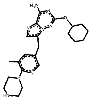 Cc1cc(Cc2cnc3c(N)nc(OC4CCCCC4)nn23)cnc1N1CCNCC1